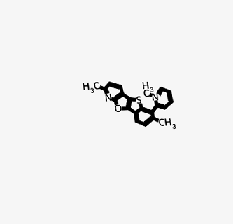 Cc1ccc2c(n1)oc1c3ccc(C)c(-c4cccc[n+]4C)c3sc21